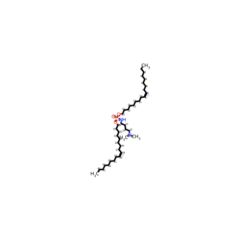 CCCCCCCC/C=C\CCCCCCCCOP(=O)(NCCCCN(C)C)OCCCCCCCC/C=C\CCCCCCCC